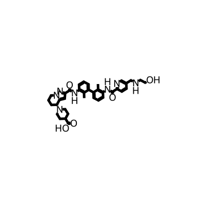 Cc1c(NC(=O)c2ccc(CNCCO)cn2)cccc1-c1cccc(NC(=O)c2cc3n(n2)CCCC3N2CCC(C(=O)O)CC2)c1C